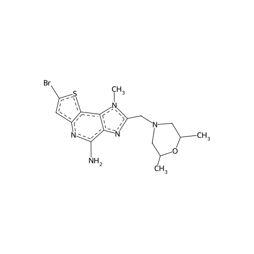 CC1CN(Cc2nc3c(N)nc4cc(Br)sc4c3n2C)CC(C)O1